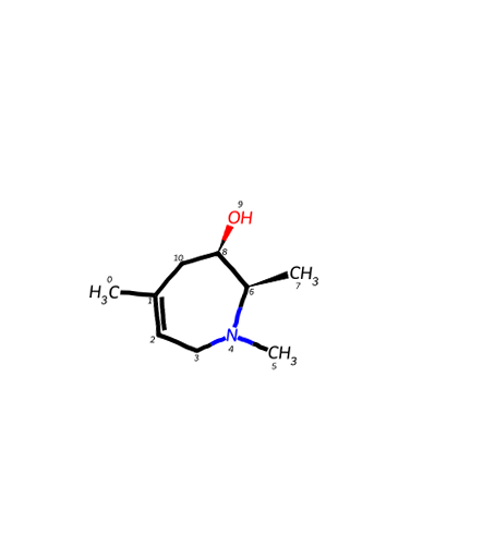 CC1=CCN(C)[C@H](C)[C@H](O)C1